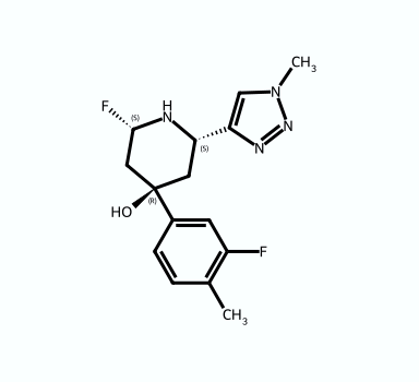 Cc1ccc([C@@]2(O)C[C@@H](c3cn(C)nn3)N[C@@H](F)C2)cc1F